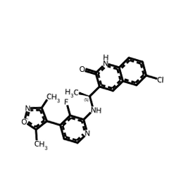 Cc1noc(C)c1-c1ccnc(N[C@@H](C)c2cc3cc(Cl)ccc3[nH]c2=O)c1F